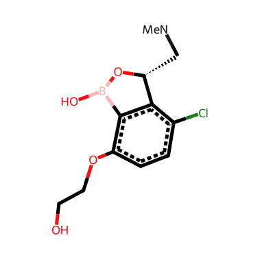 CNC[C@H]1OB(O)c2c(OCCO)ccc(Cl)c21